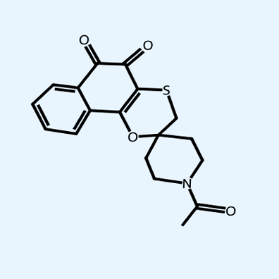 CC(=O)N1CCC2(CC1)CSC1=C(O2)c2ccccc2C(=O)C1=O